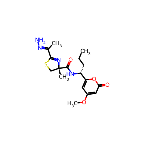 CCC[C@@H](NC(=O)[C@]1(C)CSC(/C(C)=N/N)=N1)c1cc(OC)cc(=O)o1